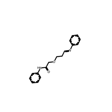 O=C(COCCC=Nc1ccccc1)Nc1ccccc1